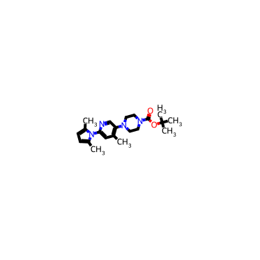 Cc1cc(-n2c(C)ccc2C)ncc1N1CCN(C(=O)OC(C)(C)C)CC1